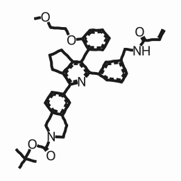 C=CC(=O)NCc1cccc(-c2nc(-c3ccc4c(c3)CCN(C(=O)OC(C)(C)C)C4)c3c(c2-c2ccccc2OCCOC)CCC3)c1